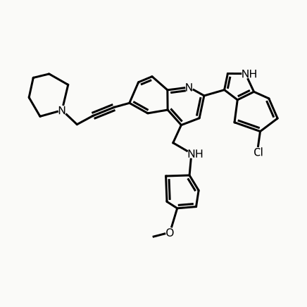 COc1ccc(NCc2cc(-c3c[nH]c4ccc(Cl)cc34)nc3ccc(C#CCN4CCCCC4)cc23)cc1